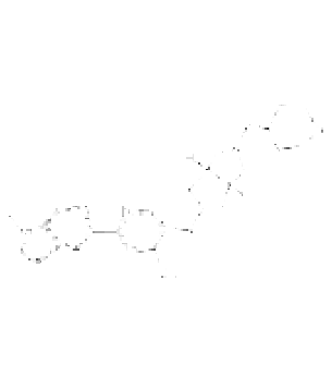 Cn1ccc2cc(-c3cc(C(F)(F)F)c(NC4C[C@@H]5CN(CC6CCOCC6)C[C@@H]5C4)nn3)ccc21